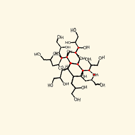 O=C(O)C(CC(O)CO)C(CC(O)CO)C(CC(O)CO)C(CC(O)CO)C(CC(O)CO)C(CC(O)CO)C(CC(O)CO)C(CC(O)CO)C(CCCC(O)CO)CC(O)CO